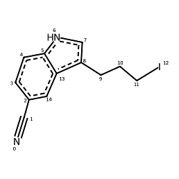 N#Cc1ccc2[nH]cc(CCCI)c2c1